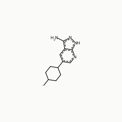 [CH2]C1CCC(c2cnc3[nH]nc(N)c3c2)CC1